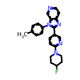 Cc1ccc(-n2c(-c3ccc(N4CCC(F)CC4)nc3)nc3ccncc32)cc1